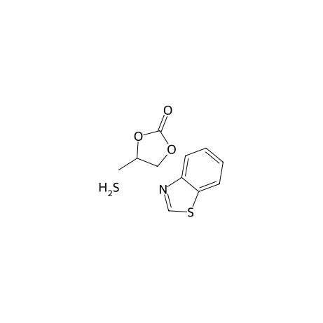 CC1COC(=O)O1.S.c1ccc2scnc2c1